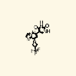 O=c1[nH]cc(-c2cc(N3CC(C(F)(F)F)C3)c3nccn3n2)c(=O)[nH]1